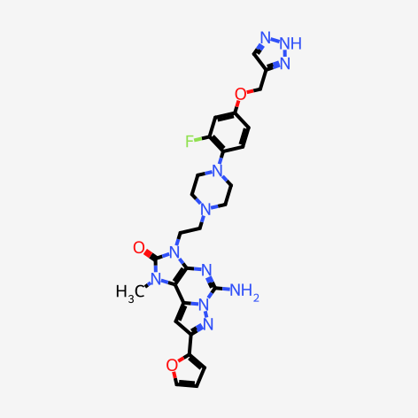 Cn1c(=O)n(CCN2CCN(c3ccc(OCc4cn[nH]n4)cc3F)CC2)c2nc(N)n3nc(-c4ccco4)cc3c21